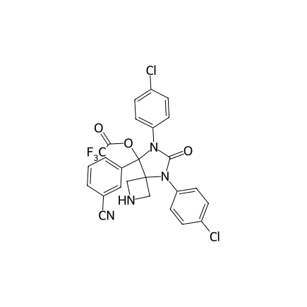 N#Cc1cccc(C2(OC(=O)C(F)(F)F)N(c3ccc(Cl)cc3)C(=O)N(c3ccc(Cl)cc3)C23CNC3)c1